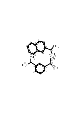 CC(C)c1ccc2ccccc2c1.CC(C)c1cccc(C(C)C)c1